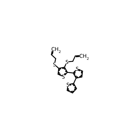 C=CCSc1csc(-c2sccc2-c2cccs2)c1SCC=C